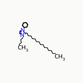 CCCCCCCCCCCCCCCCc1n(-c2ccccc2)cc[n+]1CCCCC